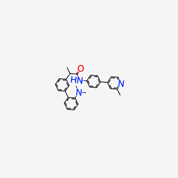 Cc1cc(-c2ccc(NC(=O)C(C)c3cccc(-c4ccccc4N(C)C)c3)cc2)ccn1